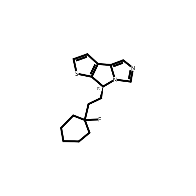 FC1(CC[C@H]2c3sccc3-c3cncn32)CCCCC1